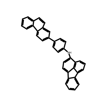 c1ccc2c(c1)-c1cccc3c(Nc4ccc(-c5ccc6c(ccc7ccccc76)c5)cc4)ccc-2c13